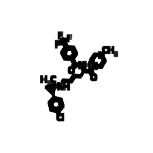 CN1CCN(C(=O)[C@H](CCCCNC2(C)C[C@H]2c2ccc(Cl)cc2)NC(=O)c2ccc(C(F)(F)F)cc2)CC1